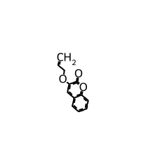 C=CCOc1cc2ccccc2oc1=O